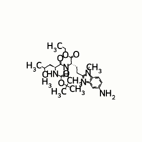 CCOC(=O)[C@H](CCc1nc2cc(N)ccc2n1C)NC(=O)[C@H](CC(C)C)NC(=O)OC(C)(C)C